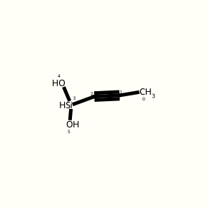 CC#C[SiH](O)O